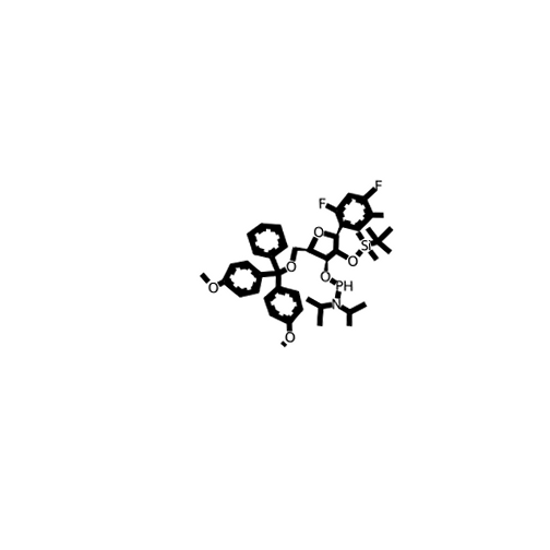 COc1ccc(C(OC[C@H]2O[C@@H](c3cc(C)c(F)cc3F)C(O[Si](C)(C)C(C)(C)C)[C@H]2OPN(C(C)C)C(C)C)(c2ccccc2)c2ccc(OC)cc2)cc1